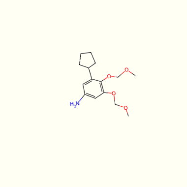 COCOc1cc(N)cc(C2CCCC2)c1OCOC